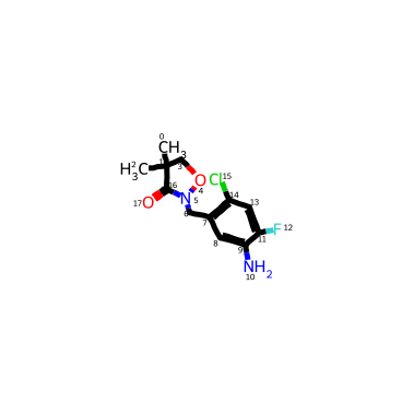 CC1(C)CON(Cc2cc(N)c(F)cc2Cl)C1=O